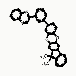 CC1(C)c2ccccc2-c2cc3c(cc21)Oc1cc(-c2cccc(-c4cnc5ccccc5n4)c2)ccc1O3